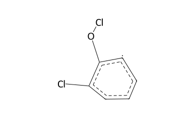 ClOc1[c]cccc1Cl